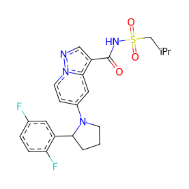 CC(C)CS(=O)(=O)NC(=O)c1cnn2ccc(N3CCCC3c3cc(F)ccc3F)cc12